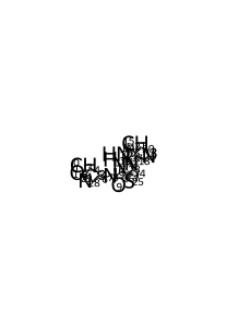 COc1ccc(CNC(=O)c2nc(N[C@@H](C)c3ccncc3)nc3ccsc23)cn1